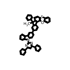 CC1(c2ccccc2)c2cc(-c3ccc4c(c3)c3ccccc3n4-c3nc(-c4ccccc4)cc(-c4ccccc4)n3)ccc2-c2c1ccc1c2Oc2ccccc2S1